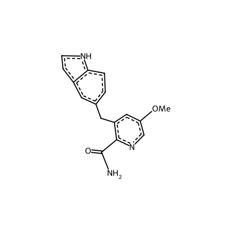 COc1cnc(C(N)=O)c(Cc2ccc3[nH]ccc3c2)c1